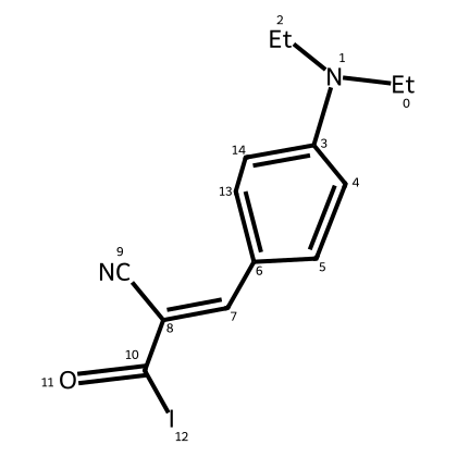 CCN(CC)c1ccc(/C=C(\C#N)C(=O)I)cc1